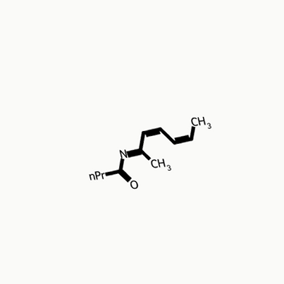 C\C=C/C=C\C(C)=N\C(=O)CCC